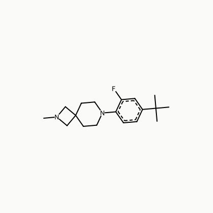 CN1CC2(CCN(c3ccc(C(C)(C)C)cc3F)CC2)C1